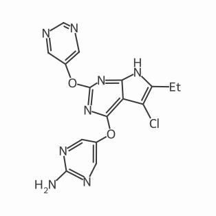 CCc1[nH]c2nc(Oc3cncnc3)nc(Oc3cnc(N)nc3)c2c1Cl